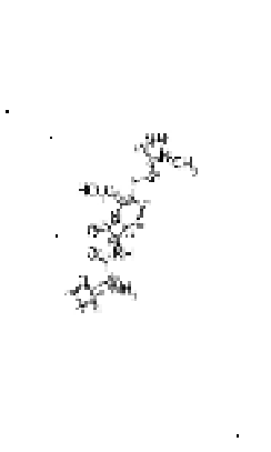 Cn1nnnc1SCC1=C(C(=O)O)N2C(=O)[C@H](NC(=O)C(N)c3ccco3)C2SC1